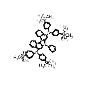 C[Si](C)(C)c1ccc(N(c2ccc([Si](C)(C)C)cc2)c2cc3c(c4ccccc24)c2c4ccccc4c(N(c4ccc([Si](C)(C)C)cc4)c4ccc([Si](C)(C)C)cc4)cc2n3-c2ccccc2)cc1